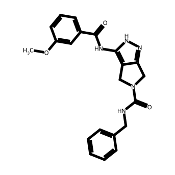 COc1cccc(C(=O)Nc2[nH]nc3c2CN(C(=O)NCc2ccccc2)C3)c1